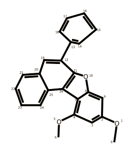 COc1cc(OC)c2c(c1)oc1c(-c3ccccc3)cc3ccccc3c12